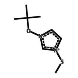 CS[n+]1ccn(OC(C)(C)C)c1